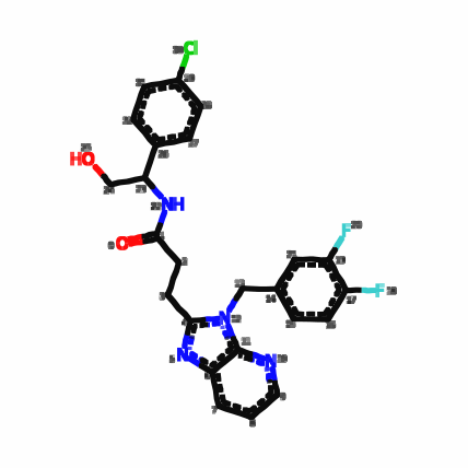 O=C(CCc1nc2cccnc2n1Cc1ccc(F)c(F)c1)NC(CO)c1ccc(Cl)cc1